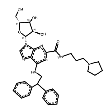 O=C(NCCCN1CCCC1)c1nc(NCC(c2ccccc2)c2ccccc2)c2ncn([C@@H]3O[C@H](CO)[C@@H](O)[C@H]3O)c2n1